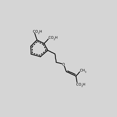 CC(=COCCc1cccc(C(=O)O)c1C(=O)O)C(=O)O